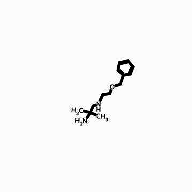 CC(C)(N)CNCCOCc1ccccc1